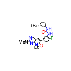 CCn1c(=O)c(-c2ccc(F)c(NC(=O)Nc3cccc(C(C)(C)C)c3)c2)cc2cnc(NC)nc21